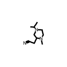 CC(C)N1CCN(C)C(CC#N)C1